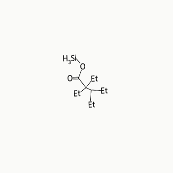 CCC(CC)C(CC)(CC)C(=O)O[SiH3]